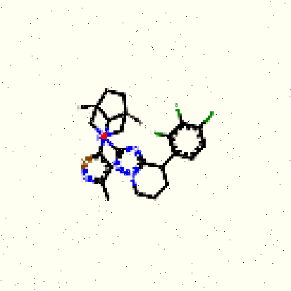 Cc1cc(N2C[C@H]3CC[C@@H](C2)C3Nc2nc3n(n2)CCCC3c2ccc(F)c(F)c2F)sn1